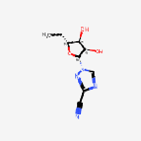 CC[C@H]1O[C@@H](n2cnc(C#N)n2)[C@H](O)[C@@H]1O